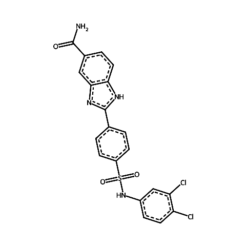 NC(=O)c1ccc2[nH]c(-c3ccc(S(=O)(=O)Nc4ccc(Cl)c(Cl)c4)cc3)nc2c1